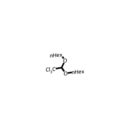 CCCCCCOC(OCCCCCC)C(Cl)(Cl)Cl